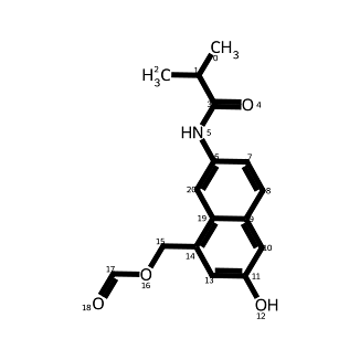 CC(C)C(=O)Nc1ccc2cc(O)cc(COC=O)c2c1